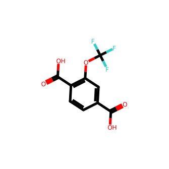 O=C(O)c1ccc(C(=O)O)c(OC(F)(F)F)c1